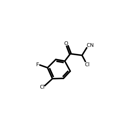 N#CC(Cl)C(=O)c1ccc(Cl)c(F)c1